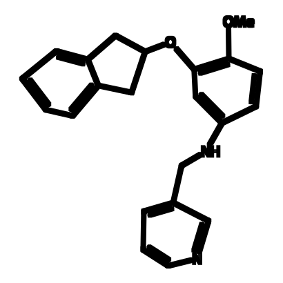 COc1ccc(NCc2cccnc2)cc1OC1Cc2ccccc2C1